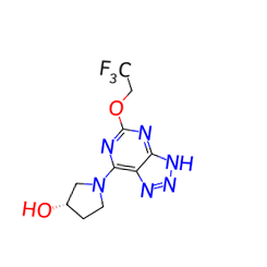 O[C@H]1CCN(c2nc(OCC(F)(F)F)nc3[nH]nnc23)C1